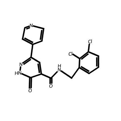 O=C(NCc1cccc(Cl)c1Cl)c1cc(-c2ccncc2)n[nH]c1=O